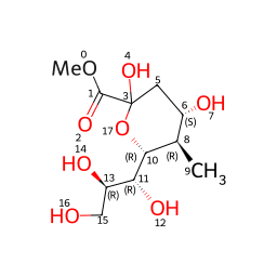 COC(=O)C1(O)C[C@H](O)[C@@H](C)[C@H]([C@H](O)[C@H](O)CO)O1